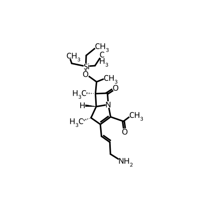 CC[Si](CC)(CC)OC(C)[C@@]1(C)C(=O)N2C(C(C)=O)=C(/C=C/CN)[C@H](C)[C@@H]21